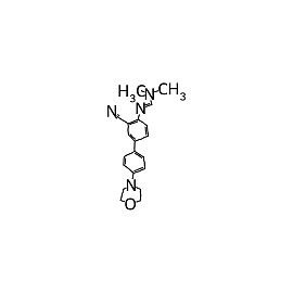 CN(C)C=Nc1ccc(-c2ccc(N3CCOCC3)cc2)cc1C#N